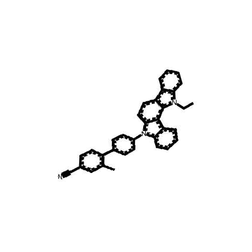 CCn1c2ccccc2c2ccc3c(c4ccccc4n3-c3ccc(-c4ccc(C#N)cc4C)cc3)c21